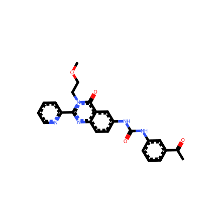 COCCn1c(-c2ccccn2)nc2ccc(NC(=O)Nc3cccc(C(C)=O)c3)cc2c1=O